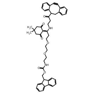 CC1(C)CC(=O)C(=C(CCOCCOCCNC(=O)OCC2c3ccccc3-c3ccccc32)NCCC(=O)C2Cc3ccccc3C#Cc3ccccc32)C(=O)C1